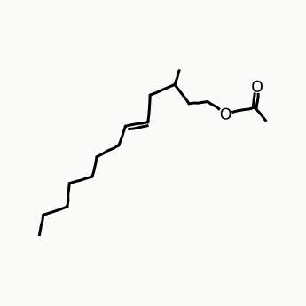 CCCCCCCC=CCC(C)CCOC(C)=O